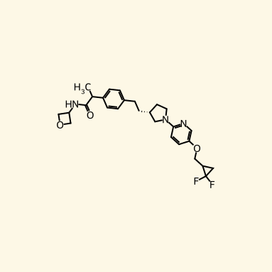 CC(C(=O)NC1COC1)c1ccc(CC[C@@H]2CCN(c3ccc(OCC4CC4(F)F)cn3)C2)cc1